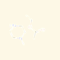 CCOC(C)=O.CN1CCNCC1